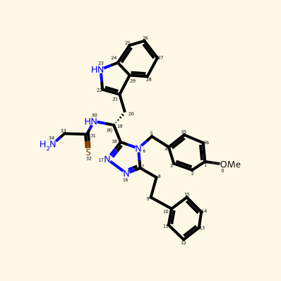 COc1ccc(Cn2c(CCc3ccccc3)nnc2[C@@H](Cc2c[nH]c3ccccc23)NC(=S)CN)cc1